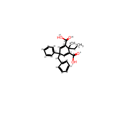 CCC1(C)C(C(=O)O)=CC(Cc2ccccc2)(c2ccccc2)C=C1C(=O)O